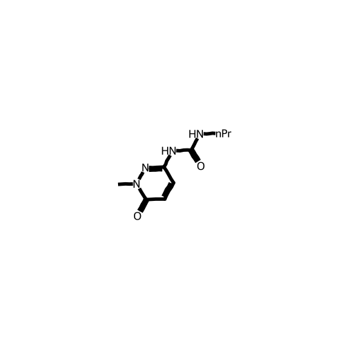 CCCNC(=O)Nc1ccc(=O)n(C)n1